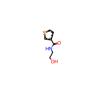 O=C(NCCO)c1ccsc1